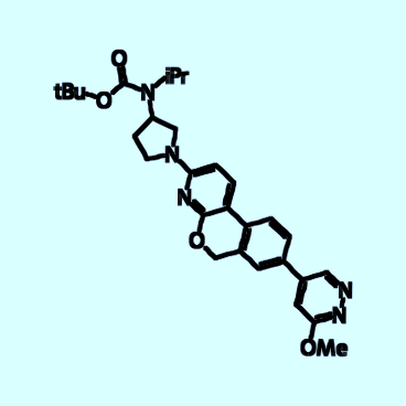 COc1cc(-c2ccc3c(c2)COc2nc(N4CCC(N(C(=O)OC(C)(C)C)C(C)C)C4)ccc2-3)cnn1